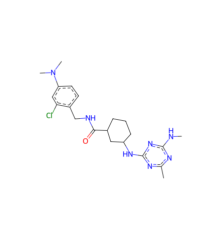 CNc1nc(C)nc(NC2CCCC(C(=O)NCc3ccc(N(C)C)cc3Cl)C2)n1